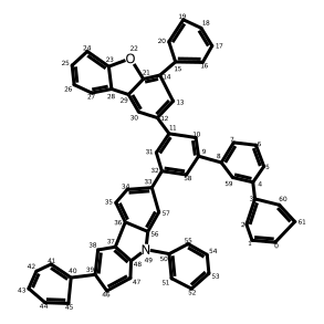 c1ccc(-c2cccc(-c3cc(-c4cc(-c5ccccc5)c5oc6ccccc6c5c4)cc(-c4ccc5c6cc(-c7ccccc7)ccc6n(-c6ccccc6)c5c4)c3)c2)cc1